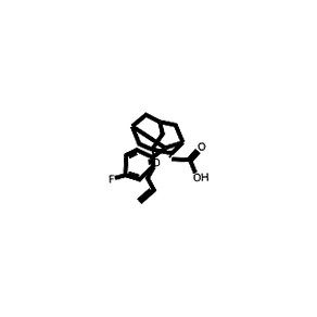 C=CCO[C@]12CC3CC(C1)[C@](CC(=O)O)(c1ccc(F)cc1)C(C3)C2